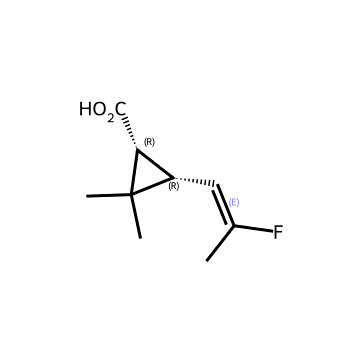 C/C(F)=C\[C@H]1[C@@H](C(=O)O)C1(C)C